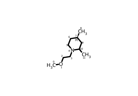 COCCN1CC[C@@H](C)CC1C